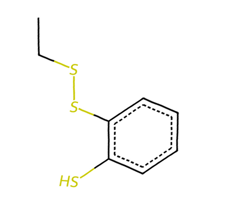 CCSSc1ccccc1S